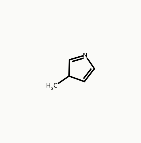 CC1C=CN=C1